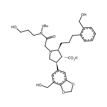 CCCCN(CCCO)C(=O)CN1C[C@H](c2cc(CO)c3c(c2)OCO3)[C@@H](C(=O)O)[C@@H]1CCCc1ccccc1CO